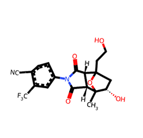 CC12OC(CCO)(C[C@@H]1O)[C@H]1C(=O)N(c3ccc(C#N)c(C(F)(F)F)c3)C(=O)[C@H]12